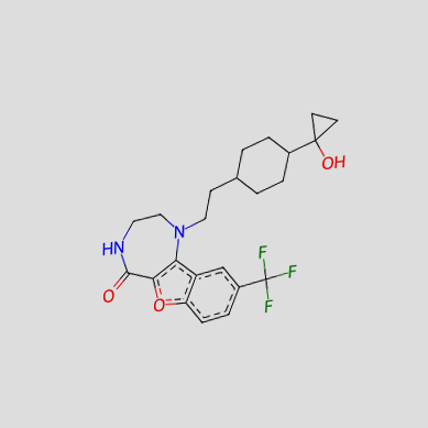 O=C1NCCN(CCC2CCC(C3(O)CC3)CC2)c2c1oc1ccc(C(F)(F)F)cc21